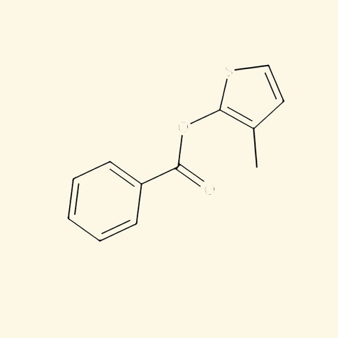 Cc1ccsc1OC(=O)c1ccccc1